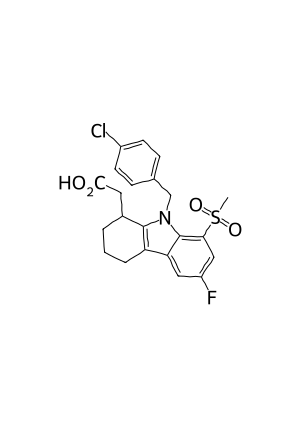 CS(=O)(=O)c1cc(F)cc2c3c(n(Cc4ccc(Cl)cc4)c12)C(CC(=O)O)CCC3